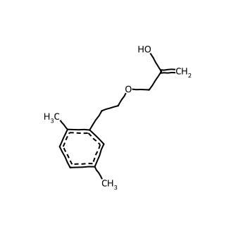 C=C(O)COCCc1cc(C)ccc1C